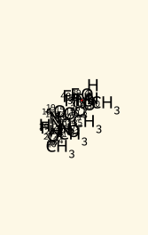 CNS(=O)(=O)Nc1cccc(Oc2c(C(=O)NC3CC3)c(Nc3ccc(C)cc3F)n(C)c(=O)c2C)c1CC(F)(F)F